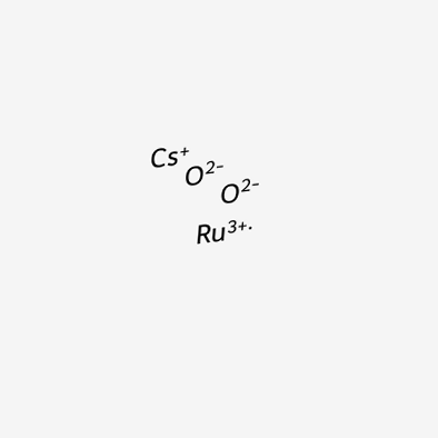 [Cs+].[O-2].[O-2].[Ru+3]